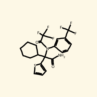 NC(=O)C(c1cccs1)(C1CCCCC1)N(C(=O)C(F)(F)F)c1cccc(C(F)(F)F)c1